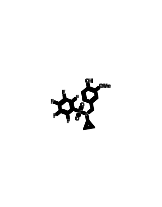 COc1cc(CN(C2CC2)S(=O)(=O)c2c(F)c(F)c(F)c(F)c2F)ccc1O